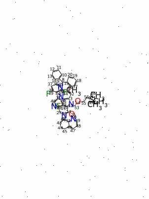 Cc1cc2c(nc1N=C(c1ccccc1)c1ccccc1)c(F)c(C(=O)N(Cc1ccc(-c3c(F)cccc3F)cn1)[C@@H]1CCCc3cccnc31)n2COCC[Si](C)(C)C